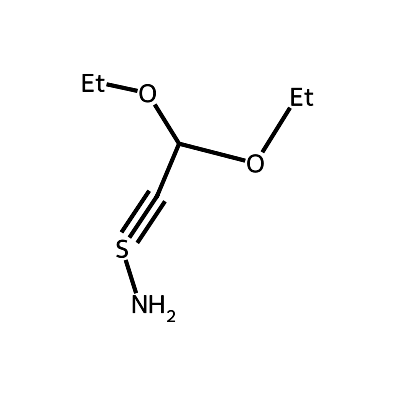 CCOC(C#SN)OCC